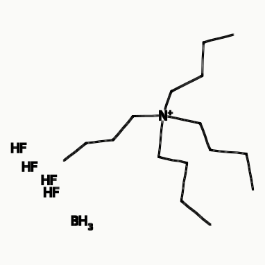 B.CCCC[N+](CCCC)(CCCC)CCCC.F.F.F.F